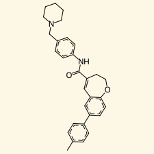 Cc1ccc(-c2ccc3c(c2)C=C(C(=O)Nc2ccc(CN4CCCCC4)cc2)CCO3)cc1